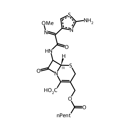 CCCCCC(=O)OCC1=C(C(=O)O)N2C(=O)C(NC(=O)C(=NOC)c3csc(N)n3)[C@@H]2SC1